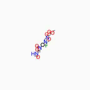 CCOC(=O)CC(=O)N1CCN(c2ccc(N3C[C@H](CNC(C)=O)OC3=O)cc2F)CCO1